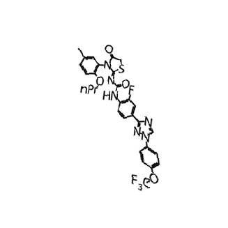 CCCOc1ccc(C)cc1N1C(=O)CS/C1=N\C(=O)Nc1ccc(-c2ncn(-c3ccc(OC(F)(F)F)cc3)n2)cc1F